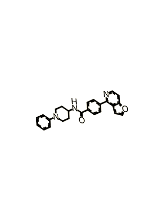 O=C(NC1CCN(c2ccccc2)CC1)c1ccc(-c2nccc3occc23)cc1